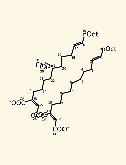 CCCCCCCCC=CCCCCCCCCC(=CC(=O)[O-])C(=O)[O-].CCCCCCCCC=CCCCCCCCCC(=CC(=O)[O-])C(=O)[O-].[Ca+2].[Ca+2]